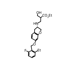 CCOC(=O)C(CO)CN[C@@H]1COc2cc(OCc3c(F)cccc3CC)ccc2C1